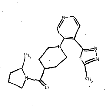 Cc1nnc(-c2ccncc2N2CCC(C(=O)N3CCCC3C)CC2)s1